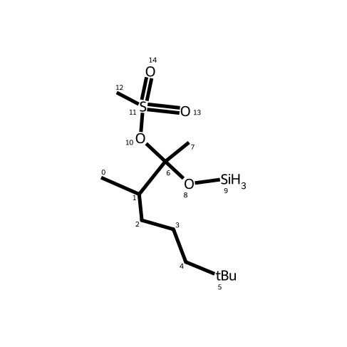 CC(CCCC(C)(C)C)C(C)(O[SiH3])OS(C)(=O)=O